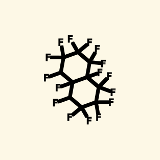 FC1C(F)(F)C(F)(F)C(F)(F)C2(F)C1(F)C(F)C(F)(F)C(F)(F)C2(F)F